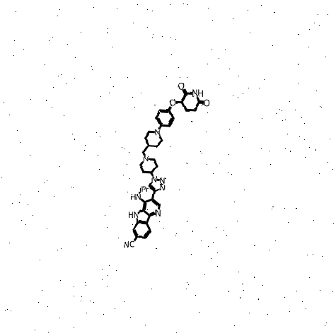 CC(C)Nc1c(-c2cn(C3CCN(CC4CCN(c5ccc(OC6CCC(=O)NC6=O)cc5)CC4)CC3)nn2)cnc2c1[nH]c1cc(C#N)ccc12